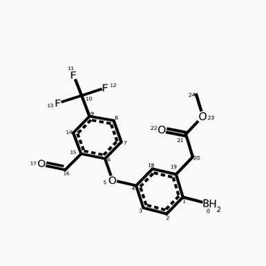 Bc1ccc(Oc2ccc(C(F)(F)F)cc2C=O)cc1CC(=O)OC